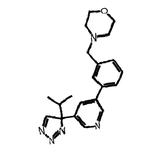 CC(C)C1(c2cncc(-c3cccc(CN4CCOCC4)c3)c2)C=NN=N1